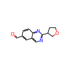 O=Cc1ccc2nc(C3CCOC3)ncc2c1